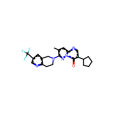 Cc1cc2ncc(C3CCCC3)c(=O)n2nc1N1CCc2ncc(C(F)(F)F)cc2C1